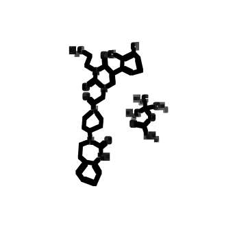 CC(C)(C)OC(N)=O.CCCn1c(=O)c(-c2cccc(Cl)c2Cl)cn(CC(=O)N2CCC(N3CCc4ccccc4NC3=O)CC2)c1=O